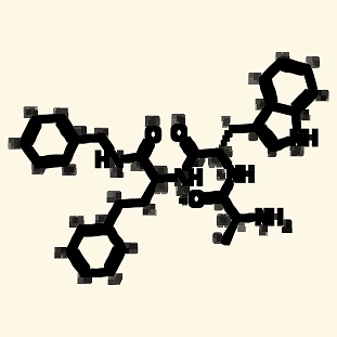 C[C@H](N)C(=O)N[C@@H](Cc1c[nH]c2ccccc12)C(=O)N[C@@H](CCc1ccccc1)C(=O)NCc1ccccc1